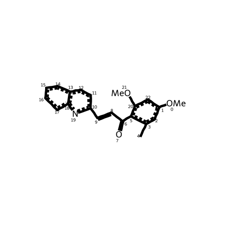 COc1cc(C)c(C(=O)/C=C/c2ccc3ccccc3n2)c(OC)c1